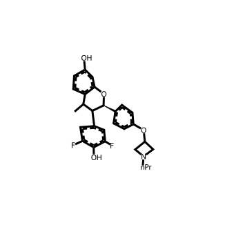 CCCN1CC(Oc2ccc([C@@H]3Oc4cc(O)ccc4C(C)C3c3cc(F)c(O)c(F)c3)cc2)C1